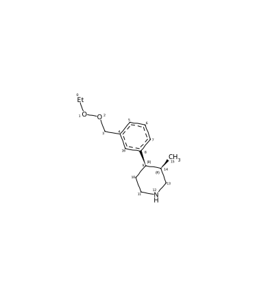 CCOOCc1cccc([C@@H]2CCNC[C@@H]2C)c1